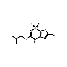 CC(C)CSC1=NS(=O)(=O)c2sc(Cl)cc2N1